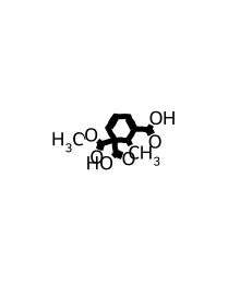 COC(=O)C1(C(=O)O)C=CC=C(C(=O)O)C1C